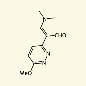 COc1ccc(C(C=O)=CN(C)C)nn1